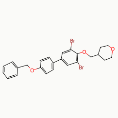 Brc1cc(-c2ccc(OCc3ccccc3)cc2)cc(Br)c1OCC1CCOCC1